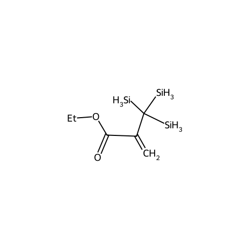 C=C(C(=O)OCC)C([SiH3])([SiH3])[SiH3]